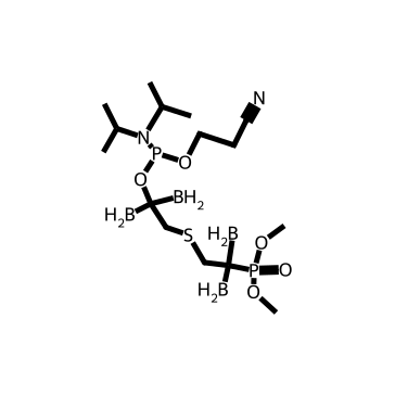 BC(B)(CSCC(B)(B)P(=O)(OC)OC)OP(OCCC#N)N(C(C)C)C(C)C